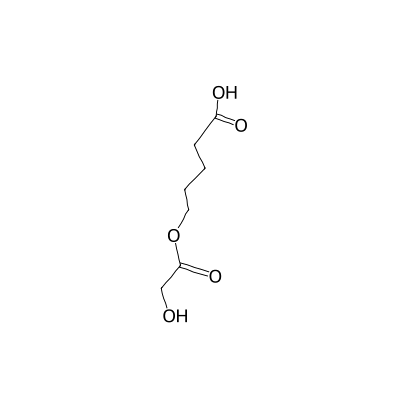 O=C(O)CCCCOC(=O)CO